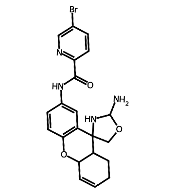 NC1NC2(CO1)c1cc(NC(=O)c3ccc(Br)cn3)ccc1OC1C=CCCC12